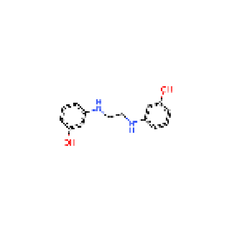 Oc1cccc(NCCNc2cccc(O)c2)c1